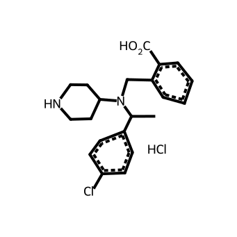 CC(c1ccc(Cl)cc1)N(Cc1ccccc1C(=O)O)C1CCNCC1.Cl